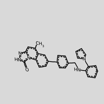 Cc1cc2n[nH]c(=O)n2c2ccc(-c3ccc(CNc4ccccc4-n4cccc4)cc3)cc12